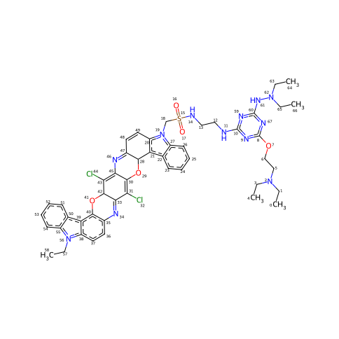 CCN(CC)CCOc1nc(NCCNS(=O)(=O)Cn2c3c(c4ccccc42)C2OC4=C(Cl)C5=Nc6ccc7c(c6OC5C(Cl)=C4N=C2C=C3)c2ccccc2n7CC)nc(NN(CC)CC)n1